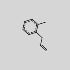 C=CCc1ccccc1C